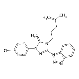 C=C(C)CCCN1C(=C)N(c2ccc(Cl)cc2)N=C1n1nnc2ccccc21